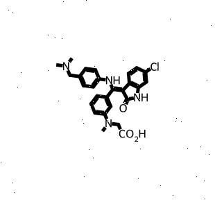 CN(C)Cc1ccc(NC(=C2C(=O)Nc3cc(Cl)ccc32)c2cccc(N(C)CC(=O)O)c2)cc1